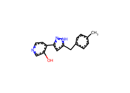 Cc1ccc(Cc2cc(-c3ccncc3O)n[nH]2)cc1